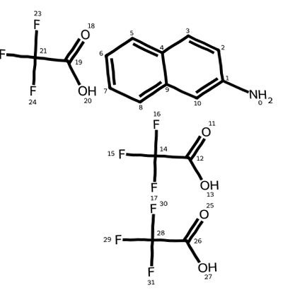 Nc1ccc2ccccc2c1.O=C(O)C(F)(F)F.O=C(O)C(F)(F)F.O=C(O)C(F)(F)F